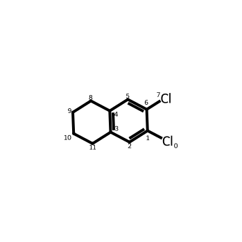 Clc1cc2c(cc1Cl)CCCC2